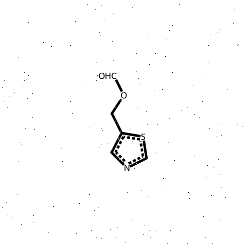 O=[C]OCc1cncs1